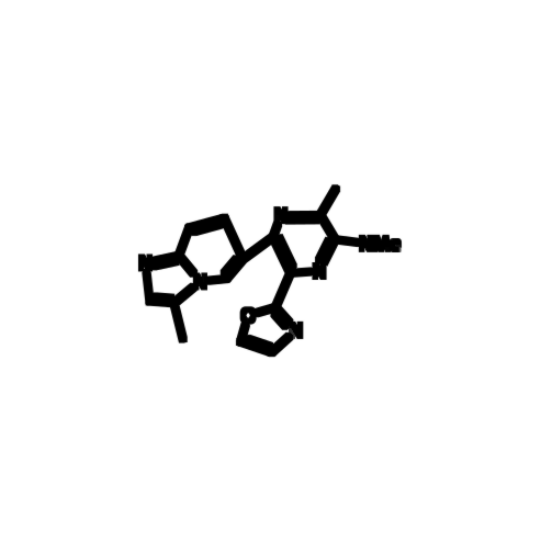 CNc1nc(-c2ncco2)c(-c2ccc3ncc(C)n3c2)nc1C